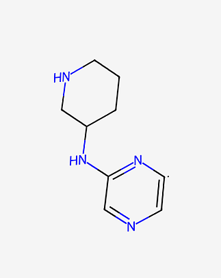 [c]1cncc(NC2CCCNC2)n1